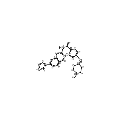 C=C(Nc1cc2cc(-c3nncs3)ccc2cn1)c1ccc(OC2CCN(C)CC2)cc1